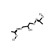 CCOC(C)=NOCC(O)CON=C(C)OCC